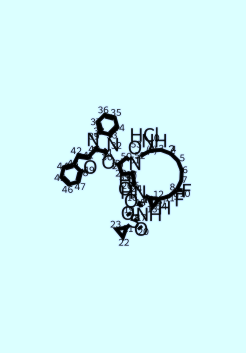 Cl.N[C@H]1CCCCCC(F)(F)C[C@@H]2C[C@@]2(C(=O)NS(=O)(=O)C2CC2)NC(=O)[C@@H]2C[C@@H](Oc3nc4ccccc4nc3-c3cc4ccccc4o3)CN2C1=O